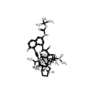 CC(C)[Si](C#Cc1c(F)ccc2cc(NC(=O)OC(C)(C)C)cc(-c3nc4c5c(nc([S+](C)[O-])nc5c3F)N3C[C@H]5CC[C@@H]([C@H]3[C@H](C)O4)N5C(=O)OC(C)(C)C)c12)(C(C)C)C(C)C